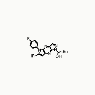 CC(C)c1cc2nc3c(cnn3C(O)C(C)(C)C)nc2n1-c1ccc(F)cc1